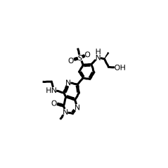 CCNc1nc(-c2ccc(N[C@@H](C)CO)c(S(C)(=O)=O)c2)cc2ncn(C)c(=O)c12